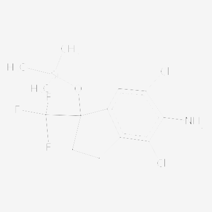 C[Si](C)(C)OC1(C(F)(F)F)CCc2c1cc(Cl)c(N)c2Cl